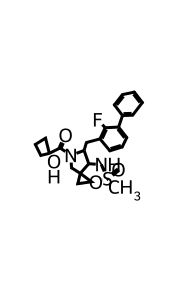 CS(=O)(=O)NC1C(Cc2cccc(-c3ccccc3)c2F)N(C(=O)C2(O)CCC2)CC12CC2